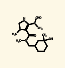 CN(C=O)C1=C(C(=O)N(C)CC2CCCC(O)(C(F)(F)F)C2)N(C)CN1